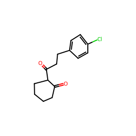 O=C1CCCCC1C(=O)CCc1ccc(Cl)cc1